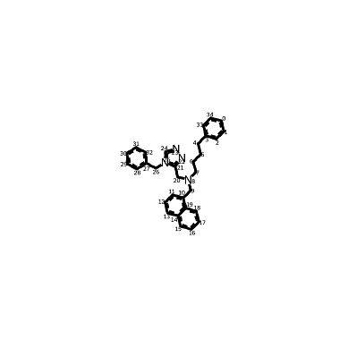 c1ccc(CCCCN(Cc2cccc3ccccc23)Cc2nncn2Cc2ccccc2)cc1